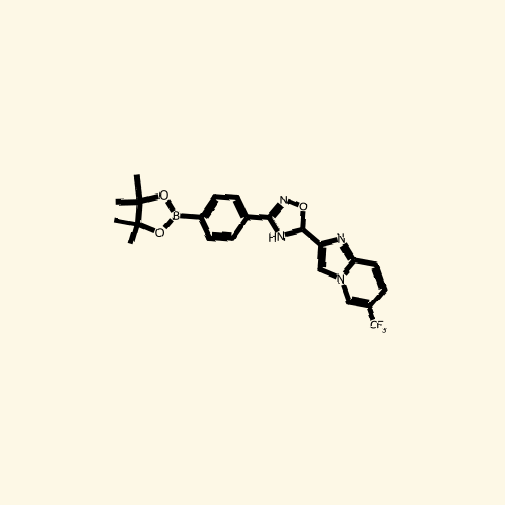 CC1(C)OB(c2ccc(C3=NOC(c4cn5cc(C(F)(F)F)ccc5n4)N3)cc2)OC1(C)C